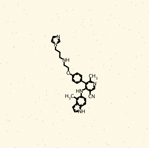 Cc1ncc(C#N)c(Nc2ccc3[nH]ccc3c2C)c1-c1ccc(OCCNCCCn2ccnc2)cc1